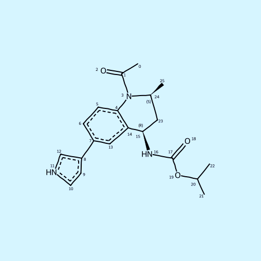 CC(=O)N1c2ccc(-c3cc[nH]c3)cc2[C@H](NC(=O)OC(C)C)C[C@@H]1C